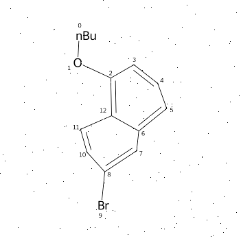 CCCCOc1cccc2cc(Br)ccc12